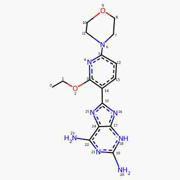 CCOc1nc(N2CCOCC2)ccc1-c1nc2[nH]c(N)nc(N)c-2n1